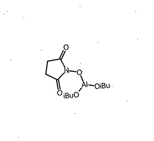 CC(C)C[O][Al]([O]CC(C)C)[O]N1C(=O)CCC1=O